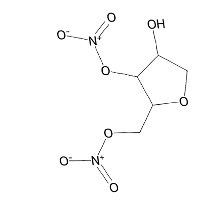 O=[N+]([O-])OCC1OCC(O)C1O[N+](=O)[O-]